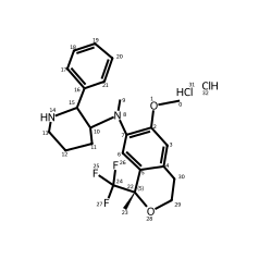 COc1cc2c(cc1N(C)C1CCCNC1c1ccccc1)[C@@](C)(C(F)(F)F)OCC2.Cl.Cl